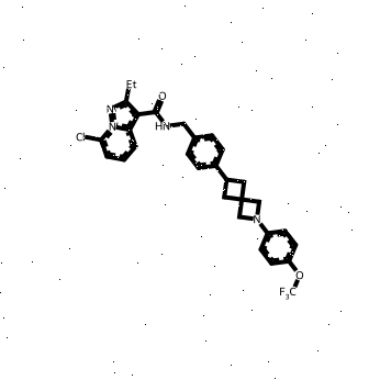 CCc1nn2c(Cl)cccc2c1C(=O)NCc1ccc(C2CC3(C2)CN(c2ccc(OC(F)(F)F)cc2)C3)cc1